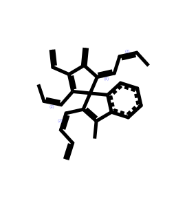 C=C/C=C\C1=C(C)c2ccccc2C12C(/C=C\C)=C(C=C)C(=C)/C2=C\C=C/C